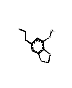 COc1cc(CCI)cc2c1OCO2